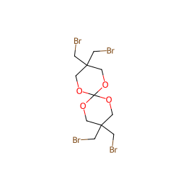 BrCC1(CBr)COC2(OC1)OCC(CBr)(CBr)CO2